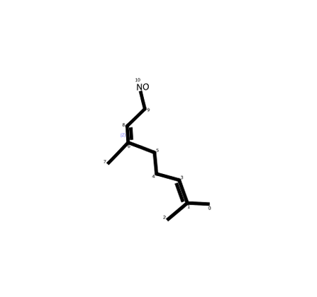 CC(C)=CCC/C(C)=C\CN=O